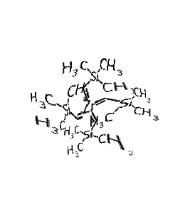 C[Si](C)(C)[CH]=[Zr](=[CH][Si](C)(C)C)(=[CH][Si](C)(C)C)=[CH][Si](C)(C)C